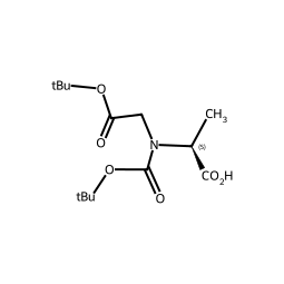 C[C@@H](C(=O)O)N(CC(=O)OC(C)(C)C)C(=O)OC(C)(C)C